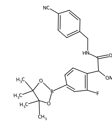 COC(C(=O)NCc1ccc(C#N)cc1)c1ccc(B2OC(C)(C)C(C)(C)O2)cc1F